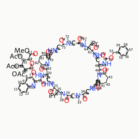 COC(=O)[C@H]1O[C@@H](Oc2cc3ccccc3nc2C(=O)N[C@@H]2CNC(=O)[C@H](C(C)C)N(C)C(=O)CN(C)C(=O)CNC(=O)[C@@H]3CCCCN3C(=O)[C@H](NC(=O)OCc3ccccc3)CNC(=O)[C@H](C(C)C)N(C)C(=O)CN(C)C(=O)CNC(=O)[C@@H]3CCCCN3C2=O)[C@H](OC(C)=O)[C@@H](OC(C)=O)[C@@H]1OC(C)=O